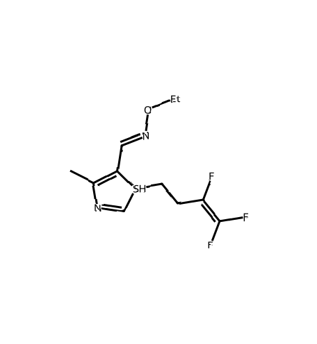 CCO/N=C/C1=C(C)N=C[SH]1CCC(F)=C(F)F